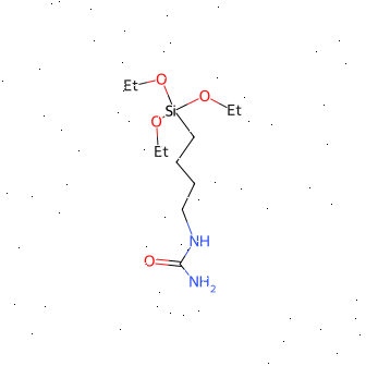 CCO[Si](CCCCNC(N)=O)(OCC)OCC